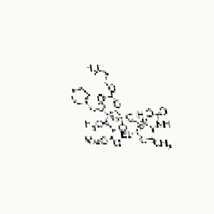 C=CCOC(=O)OC1[C@H](O[C@@H]2C(CC)O[C@@H](C)C3NC(=O)O[C@H]32)OC(C(=O)OC)[C@@H](C)[C@@H]1OCc1ccccc1